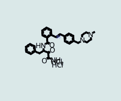 CN1CCN(Cc2ccc(/C=C/c3ccccc3C(=O)NC(Cc3ccccc3)C(=O)C(N)=O)cc2)CC1.Cl.Cl